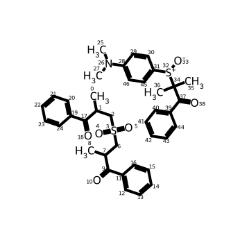 CC(CS(=O)(=O)CC(C)C(=O)c1ccccc1)C(=O)c1ccccc1.CN(C)c1ccc([S+]([O-])C(C)(C)C(=O)c2ccccc2)cc1